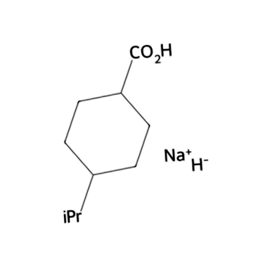 CC(C)C1CCC(C(=O)O)CC1.[H-].[Na+]